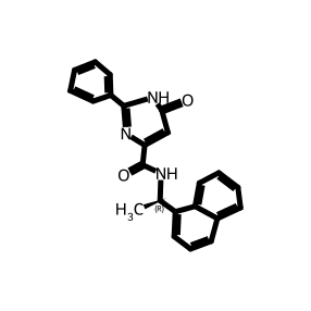 C[C@@H](NC(=O)c1cc(=O)[nH]c(-c2ccccc2)n1)c1cccc2ccccc12